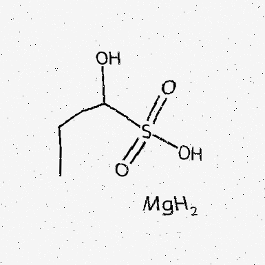 CCC(O)S(=O)(=O)O.[MgH2]